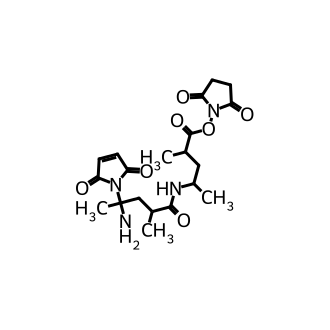 CC(CC(C)C(=O)ON1C(=O)CCC1=O)NC(=O)C(C)CC(C)(N)N1C(=O)C=CC1=O